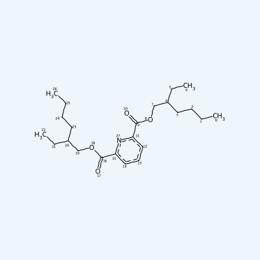 CCCCC(CC)COC(=O)c1cccc(C(=O)OCC(CC)CCCC)n1